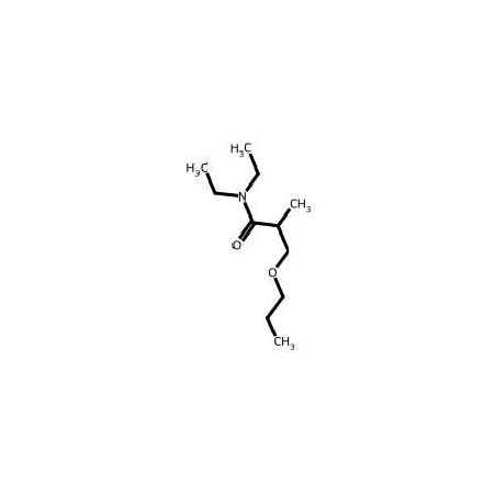 CCCOCC(C)C(=O)N(CC)CC